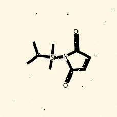 CC(C)[Si](C)(C)N1C(=O)C=CC1=O